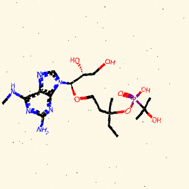 CCC(C)(CCO[C@H]([C@H](O)CO)n1cnc2c(NC)nc(N)nc21)OP(=O)(O)C(C)(C)O